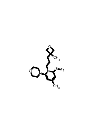 CCSC1C=C(C)C=C(N2CCOCC2)N1CCCC1(C)COC1